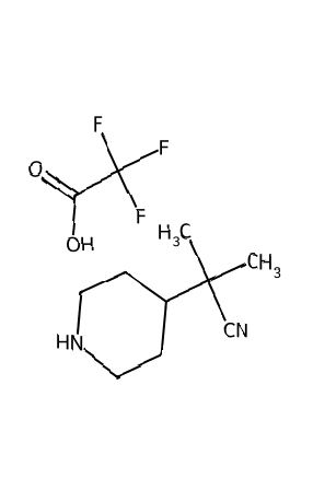 CC(C)(C#N)C1CCNCC1.O=C(O)C(F)(F)F